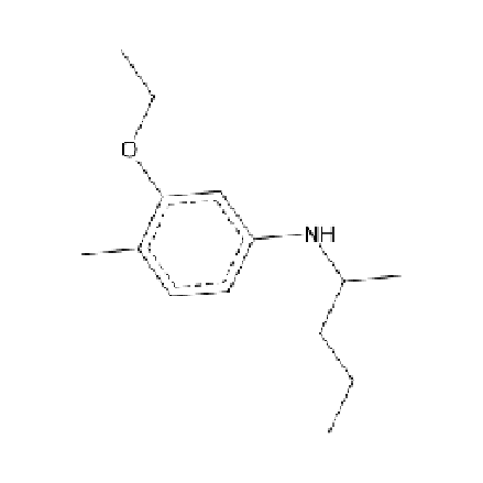 CCCC(C)Nc1ccc(C)c(OCC)c1